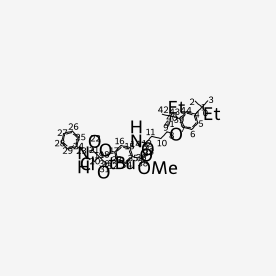 CCC(C)(C)c1ccc(OCCCC(=O)Nc2cc(OC(Cl)(C(=O)Nc3ccccc3)C(=O)C(C)(C)C)ccc2C(=O)OC)c(C(C)(C)CC)c1